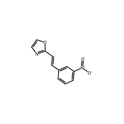 O=[N+]([O-])c1cccc(/C=C/c2ncco2)c1